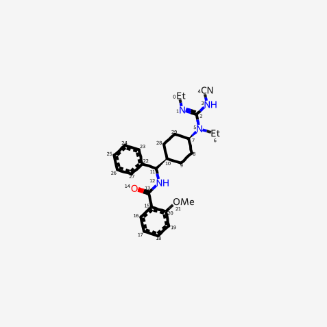 CCN=C(NC#N)N(CC)[C@H]1CC[C@@H](C(NC(=O)c2ccccc2OC)c2ccccc2)CC1